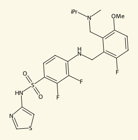 COc1ccc(F)c(CNc2ccc(S(=O)(=O)Nc3cscn3)c(F)c2F)c1CN(C)C(C)C